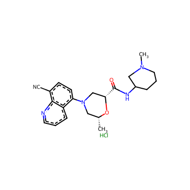 C[C@@H]1CN(c2ccc(C#N)c3ncccc23)C[C@H](C(=O)NC2CCCN(C)C2)O1.Cl